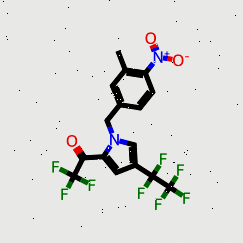 Cc1cc(Cn2cc(C(F)(F)C(F)(F)F)cc2C(=O)C(F)(F)F)ccc1[N+](=O)[O-]